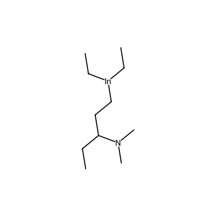 CCC(C[CH2][In]([CH2]C)[CH2]C)N(C)C